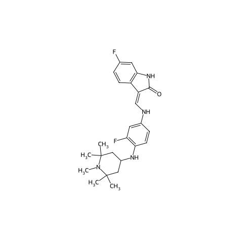 CN1C(C)(C)CC(Nc2ccc(NC=C3C(=O)Nc4cc(F)ccc43)cc2F)CC1(C)C